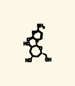 Nc1ccn([C@@H]2O[C@H](CO)C[C@H](O)C[C@H]2O)c(=O)n1